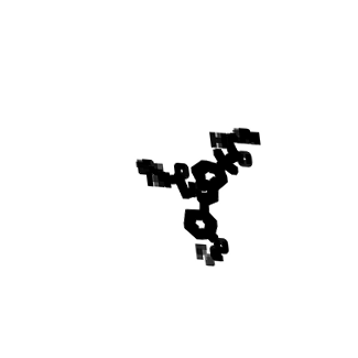 CC(C)(C)NC(=O)Cn1c(-c2cccc(OC(F)(F)F)c2)cc2cc(C(C)(C)C(=O)NC(C)(C)C)ccc21